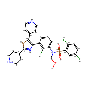 COCN(c1cccc(-c2nc(C3CCNCC3)sc2-c2ccncc2)c1F)S(=O)(=O)c1cc(F)ccc1F